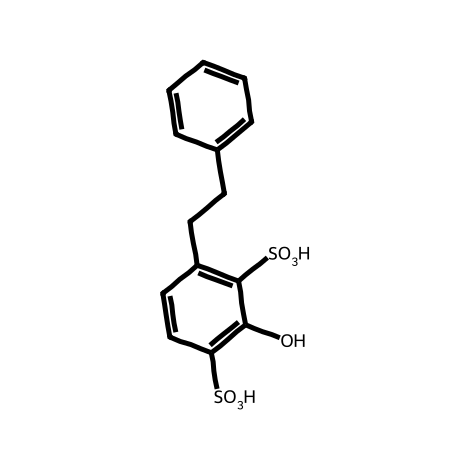 O=S(=O)(O)c1ccc(CCc2ccccc2)c(S(=O)(=O)O)c1O